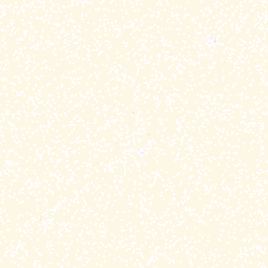 COC(=O)C1CCN(S(=O)(=O)c2ccc3cnccc3c2)CC1.Cl